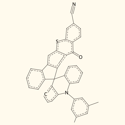 Cc1cc(C)cc(N2c3ccccc3C3(c4ccccc4-c4cc5sc6cc(C#N)ccc6c(=O)c5cc43)c3ccccc32)c1